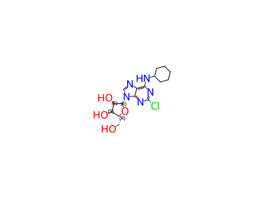 OC[C@H]1O[C@@H](n2cnc3c(NC4CCCCC4)nc(Cl)nc32)[C@H](O)[C@@H]1O